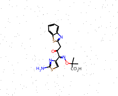 CC(C)(ON=C(C(=O)Cc1nc2ccccc2s1)c1csc(N)n1)C(=O)O